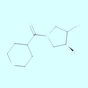 CC(C)C1CN(C(=O)C2CCOCC2)C[C@@H]1F